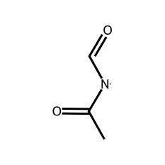 CC(=O)[N]C=O